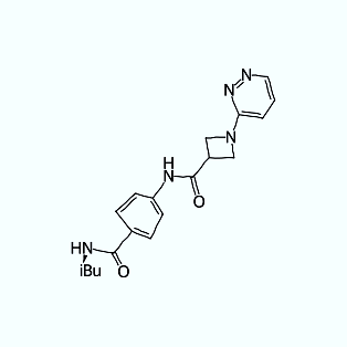 CC[C@H](C)NC(=O)c1ccc(NC(=O)C2CN(c3cccnn3)C2)cc1